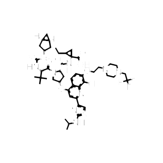 CCC1C[C@]1(NC(=O)[C@@H]1C[C@@H](Oc2cc(-c3csc(NC(C)C)n3)nc3c(Cl)c(OCCN4CCN(CC(F)(F)F)CC4)ccc23)CN1C(=O)[C@@H](NC(=O)O[C@@H]1C[C@@H]2C[C@@H]2C1)C(C)(C)C)C(=O)O